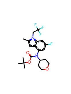 Cc1cc2c(N(C(=O)OC(C)(C)C)C3CCOCC3)cc(F)cc2n1CC(F)(F)F